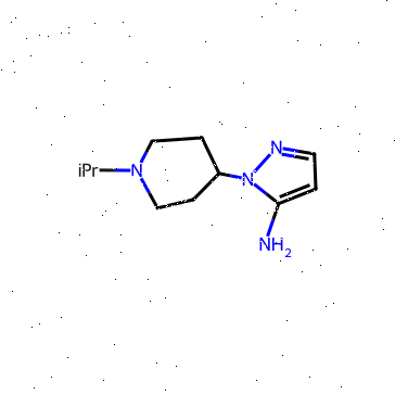 CC(C)N1CCC(n2nccc2N)CC1